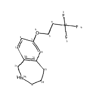 FC(F)(F)CCOc1ccc2c(c1)CCCNC2